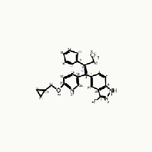 Fc1n[nH]c2ccc(/C(=C(\CC(F)(F)F)c3ccccc3)c3ccc(OC[C]4CC4)nc3)cc12